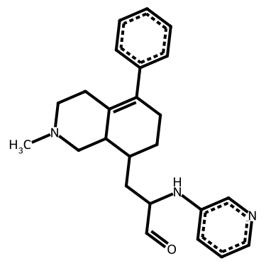 CN1CCC2=C(c3ccccc3)CCC(CC(C=O)Nc3cccnc3)C2C1